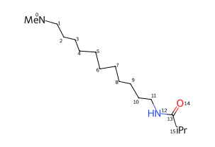 CNCCCCCCCCCCCNC(=O)C(C)C